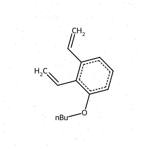 C=Cc1cccc(OCCCC)c1C=C